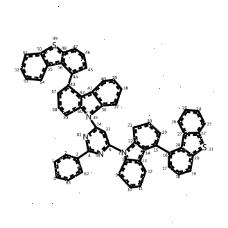 c1ccc(-c2nc(-n3c4ccccc4c4c(-c5cccc6sc7ccccc7c56)cccc43)cc(-n3c4ccccc4c4c(-c5cccc6sc7ccccc7c56)cccc43)n2)cc1